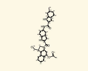 CC(=O)Oc1cc2c(c3ccccc13)C(CCl)CN2C(=O)c1cc2cc(NC(=O)c3cc4ccc(C)cc4[nH]3)ccc2[nH]1